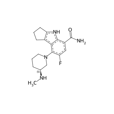 CN[C@H]1CCCN(c2c(F)cc(C(N)=O)c3[nH]c4c(c23)CCC4)C1